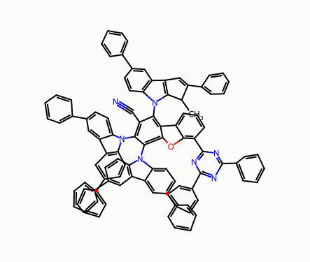 CC1C(c2ccccc2)=Cc2c1n(-c1c(C#N)c(-n3c4ccc(-c5ccccc5)cc4c4cc(-c5ccccc5)ccc43)c(-n3c4ccc(-c5ccccc5)cc4c4cc(-c5ccccc5)ccc43)c3oc4c(-c5nc(-c6ccccc6)nc(-c6ccccc6)n5)cccc4c13)c1ccc(-c3ccccc3)cc21